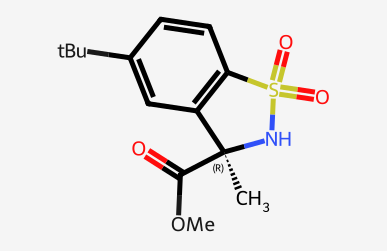 COC(=O)[C@]1(C)NS(=O)(=O)c2ccc(C(C)(C)C)cc21